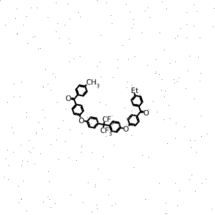 CCc1ccc(C(=O)c2ccc(Oc3ccc(C(c4ccc(Oc5ccc(C(=O)c6ccc(C)cc6)cc5)cc4)(C(F)(F)F)C(F)(F)F)cc3)cc2)cc1